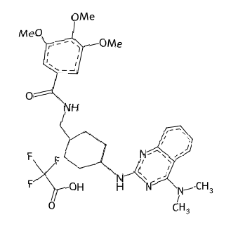 COc1cc(C(=O)NCC2CCC(Nc3nc(N(C)C)c4ccccc4n3)CC2)cc(OC)c1OC.O=C(O)C(F)(F)F